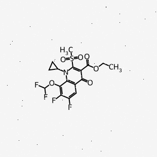 CCOC(=O)c1c(S(C)(=O)=O)n(C2CC2)c2c(OC(F)F)c(F)c(F)cc2c1=O